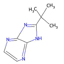 CC(C)(C)c1nc2nccnc2[nH]1